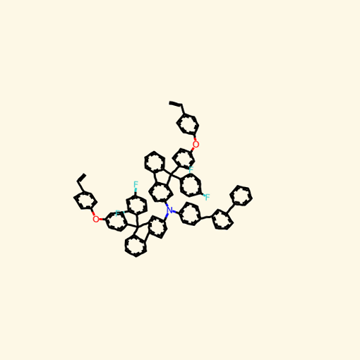 C=Cc1ccc(Oc2ccc(C3(c4ccc(F)cc4F)c4ccccc4-c4ccc(N(c5ccc(-c6cccc(-c7ccccc7)c6)cc5)c5ccc6c(c5)C(c5ccc(Oc7ccc(C=C)cc7)cc5)(c5ccc(F)cc5F)c5ccccc5-6)cc43)cc2)cc1